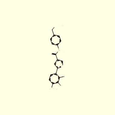 COc1ccc(-c2cc(C(=O)Nc3ccc(CC(=O)O)cc3)co2)c(F)c1F